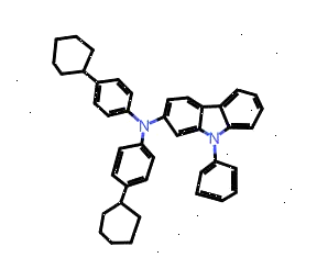 c1ccc(-n2c3ccccc3c3ccc(N(c4ccc(C5CCCCC5)cc4)c4ccc(C5CCCCC5)cc4)cc32)cc1